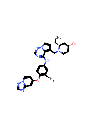 CC[C@H]1C[C@H](O)CCN1Cc1ccn2ncnc(Nc3ccc(Oc4ccn5ncnc5c4)c(C)c3)c12